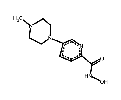 CN1CCN(c2ccc(C(=O)NO)nc2)CC1